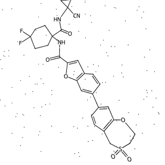 N#CC1(NC(=O)C2(NC(=O)c3cc4ccc(-c5ccc6c(c5)OCCS(=O)(=O)C6)cc4o3)CCC(F)(F)CC2)CC1